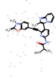 C=C1Oc2cc(C#Cc3nc(NC(=O)C(C)NC)ccc3-c3c(C)nc4ccccn34)ccc2N1C